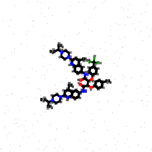 Cc1ccc(OC(C(=O)Nc2ccc3nc(N4CCN(C(C)C)CC4)cc(C)c3c2)C(Oc2ccc(C(F)(F)F)cc2)C(=O)Nc2ccc3nc(N4CCN(C(C)C)CC4)cc(C)c3c2)cc1